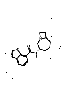 O=C(N[C@H]1CCCC2CCN2C1)c1cccc2ncsc12